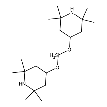 CC1(C)CC(O[SiH2]OC2CC(C)(C)NC(C)(C)C2)CC(C)(C)N1